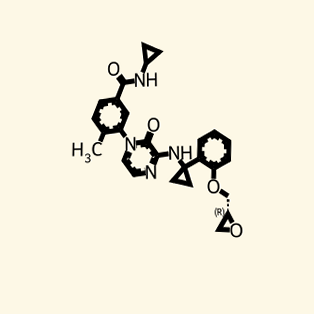 Cc1ccc(C(=O)NC2CC2)cc1-n1ccnc(NC2(c3ccccc3OC[C@H]3CO3)CC2)c1=O